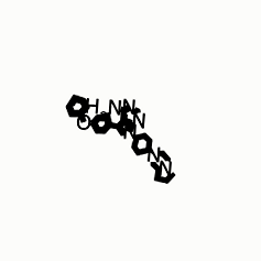 Nc1ncnc2c1c(-c1ccc(Oc3ccccc3)cc1)cn2[C@H]1CC[C@@H](N2CCN3CCCC3C2)CC1